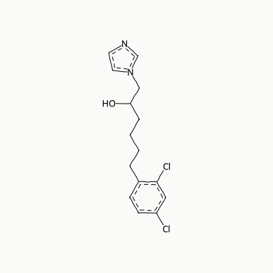 OC(CCCCc1ccc(Cl)cc1Cl)Cn1ccnc1